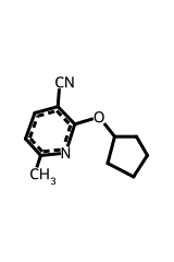 Cc1ccc(C#N)c(OC2CCCC2)n1